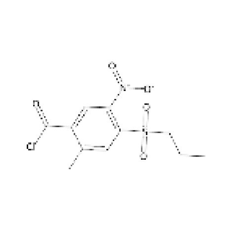 CCCS(=O)(=O)c1cc(C)c(C(=O)Cl)cc1[N+](=O)[O-]